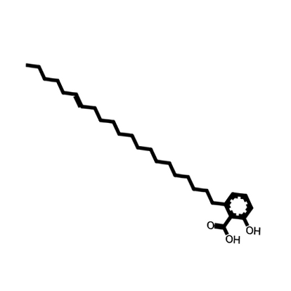 CCCCCC=CCCCCCCCCCCCCCCc1cccc(O)c1C(=O)O